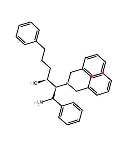 NC(c1ccccc1)[C@@H]([C@@H](O)CCCc1ccccc1)N(Cc1ccccc1)Cc1ccccc1